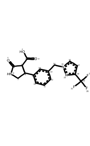 O=C(O)C1C(=O)NCC1c1cccc(Cn2ccc(C(F)(F)F)n2)c1